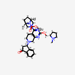 CN1CCC[C@H]1COc1nc2c(c(N3C[C@H]4CC[C@@H](C3)N4C(=O)OC(C)(C)C)n1)CCN(C1CC(=O)c3ccccc31)C2